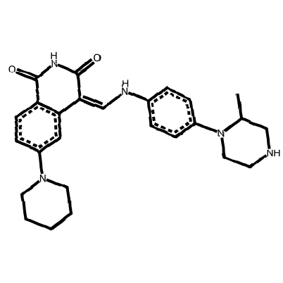 CC1CNCCN1c1ccc(NC=C2C(=O)NC(=O)c3ccc(N4CCCCC4)cc32)cc1